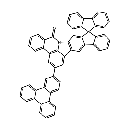 O=c1c2ccccc2c2cc(-c3ccc4c5ccccc5c5ccccc5c4c3)cc3c4cc5c(cc4n1c23)C1(c2ccccc2-c2ccccc21)c1ccccc1-5